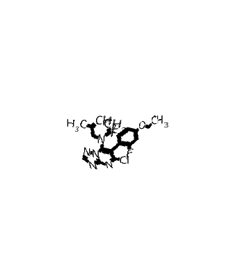 C=C(C)CN(CC)c1c(-c2c(F)cc(OCC)cc2F)c(Cl)nc2ncnn12